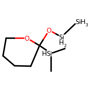 C[SiH](C)C1(O[SiH2][SiH3])CCCCO1